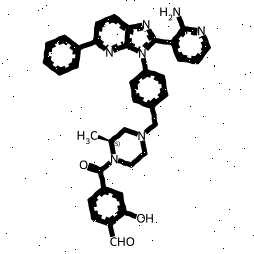 C[C@H]1CN(Cc2ccc(-n3c(-c4cccnc4N)nc4ccc(-c5ccccc5)nc43)cc2)CCN1C(=O)c1ccc(C=O)c(O)c1